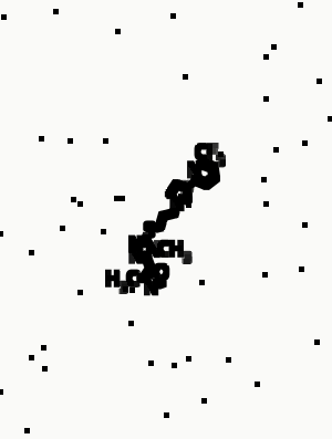 Cc1ncoc1-c1nnc(SCCCN2CC[C@@H](c3cccc(C(F)(F)F)n3)C2)n1C